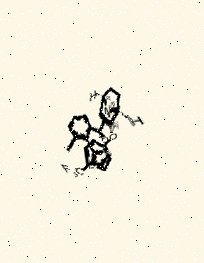 Cc1cccc(C(=O)N2[C@@H]3CC[C@H]2[C@H](Oc2ccc(C(F)(F)F)cn2)C3)c1-c1ncco1